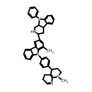 Cc1cc(C2CC3c4ccccc4N(c4ccccc4)C3CN2)cc2c3ccccc3n(-c3ccc(C4CCN(C)C5=C4CCC=N5)cc3)c12